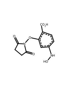 O=C(O)c1ccc(NO)cc1ON1C(=O)CCC1=O